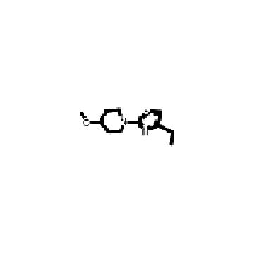 CCc1csc(N2CCC(OC)CC2)n1